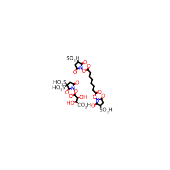 O=C(CCCCCCC(=O)ON1C(=O)CC(S(=O)(=O)O)C1=O)ON1C(=O)CC(S(=O)(=O)O)C1=O.O=C(O)C(O)C(O)C(=O)ON1C(=O)CC(S(=O)(=O)O)(S(=O)(=O)O)C1=O